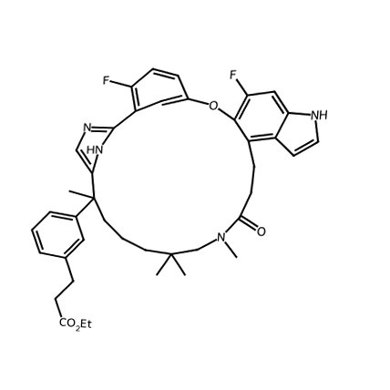 CCOC(=O)CCc1cccc(C2(C)CCCC(C)(C)CN(C)C(=O)CCc3c(c(F)cc4[nH]ccc34)Oc3ccc(F)c(c3)-c3ncc2[nH]3)c1